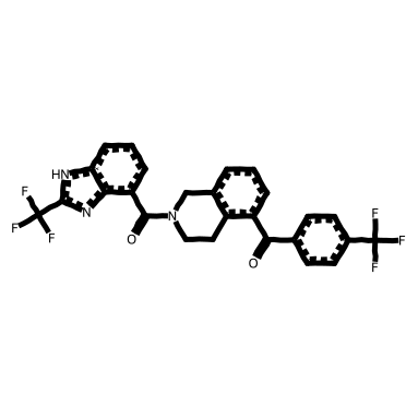 O=C(c1ccc(C(F)(F)F)cc1)c1cccc2c1CCN(C(=O)c1cccc3[nH]c(C(F)(F)F)nc13)C2